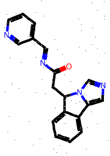 O=C(CC1c2ccccc2-c2cncn21)N=Cc1cccnc1